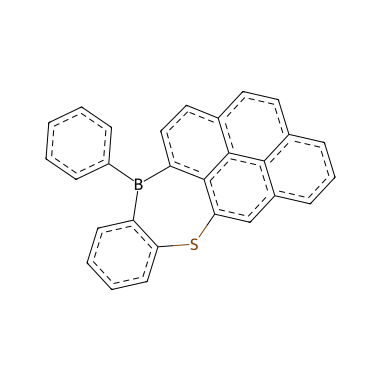 c1ccc(B2c3ccccc3Sc3cc4cccc5ccc6ccc2c3c6c54)cc1